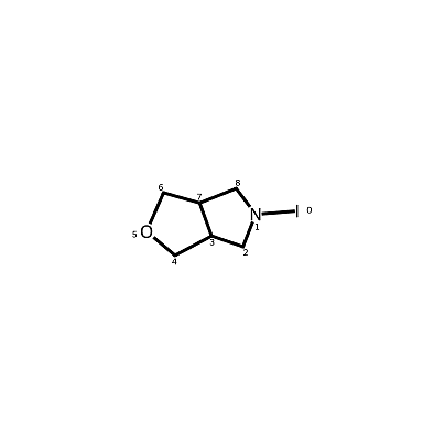 IN1CC2COCC2C1